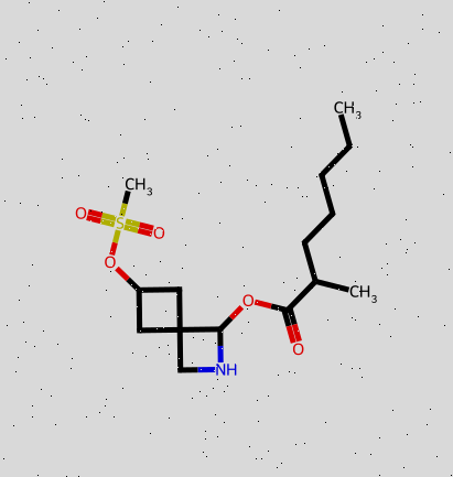 CCCCCC(C)C(=O)OC1NCC12CC(OS(C)(=O)=O)C2